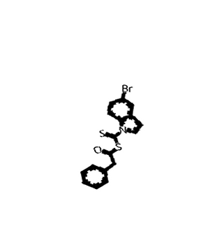 O=C(Cc1ccccc1)SC(=S)n1ccc2cc(Br)ccc21